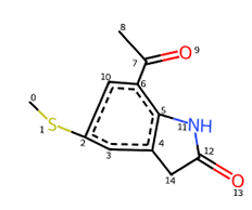 CSc1cc2c(c(C(C)=O)c1)NC(=O)C2